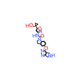 O=C(Nc1cc(C2(CO)CC2)on1)N1CCc2cc(Oc3ncnc4c3CNC4)ccc21